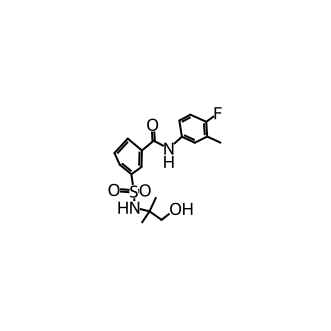 Cc1cc(NC(=O)c2cccc(S(=O)(=O)NC(C)(C)CO)c2)ccc1F